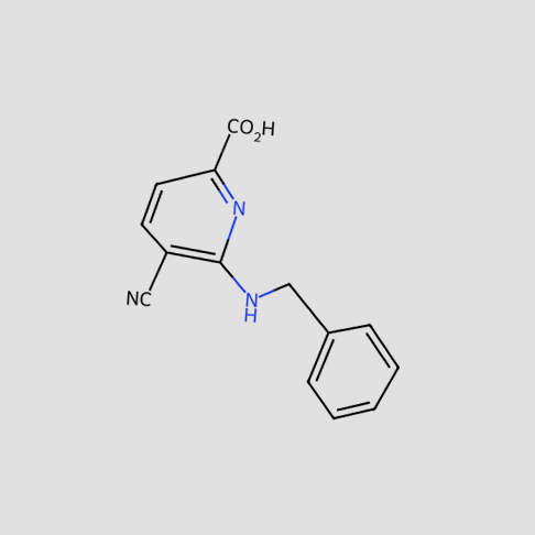 N#Cc1ccc(C(=O)O)nc1NCc1ccccc1